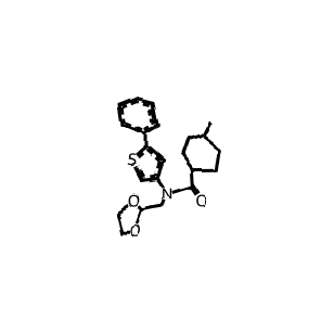 CC1CCC(C(=O)N(CC2OCCO2)c2csc(-c3ccccc3)c2)CC1